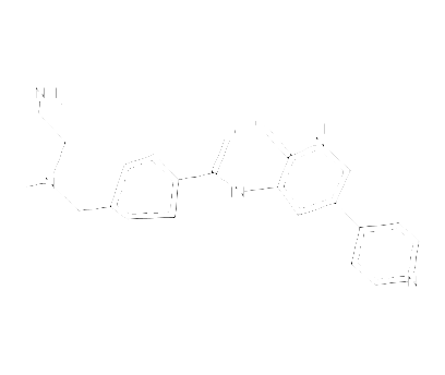 CN(CCN)Cc1ccc(C(=O)Nc2cc(-c3ccncc3)c[nH]c2=O)cc1